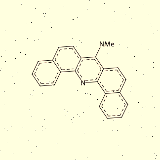 CNc1c2ccc3ccccc3c2nc2c1ccc1ccccc12